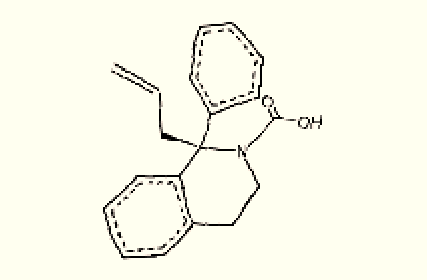 C=CC[C@]1(c2ccccc2)c2ccccc2CCN1C(=O)O